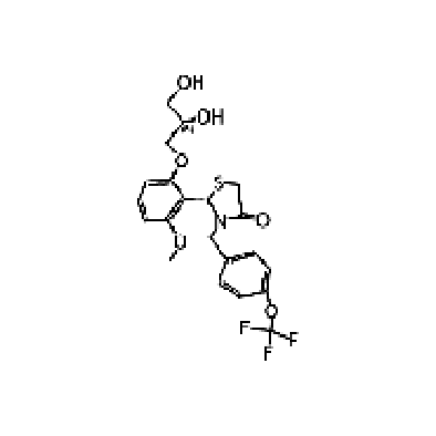 COc1cccc(OC[C@H](O)CO)c1C1SCC(=O)N1Cc1ccc(OC(F)(F)F)cc1